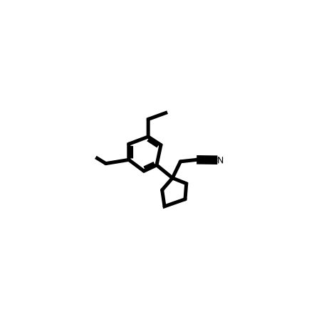 CCc1cc(CC)cc(C2(CC#N)CCCC2)c1